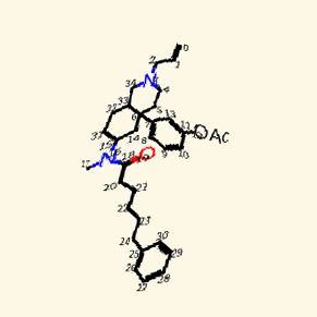 C=CCN1CCC2(c3cccc(OC(C)=O)c3)CC(N(C)C(=O)CCCCCc3ccccc3)CCC2C1